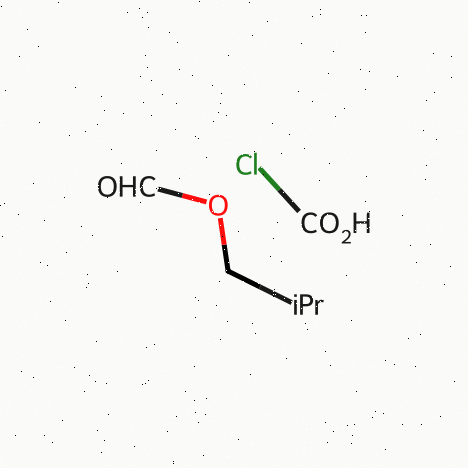 CC(C)COC=O.O=C(O)Cl